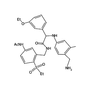 CCOc1cccc(C(Nc2ccc(CN)c(C)c2)C(=O)NCc2cc(NC(C)=O)ccc2S(=O)(=O)CC)c1